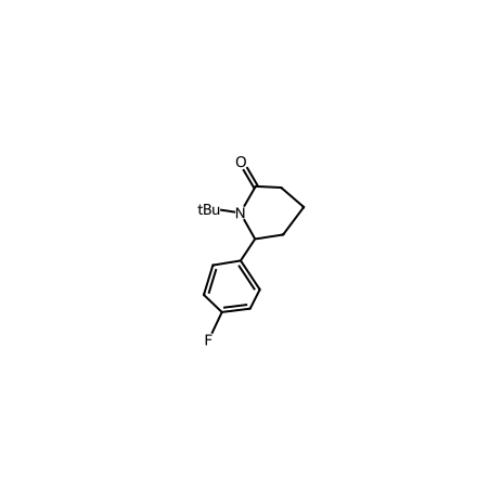 CC(C)(C)N1C(=O)CCCC1c1ccc(F)cc1